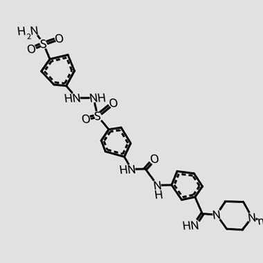 CCCCN1CCN(C(=N)c2cccc(NC(=O)Nc3ccc(S(=O)(=O)NNc4ccc(S(N)(=O)=O)cc4)cc3)c2)CC1